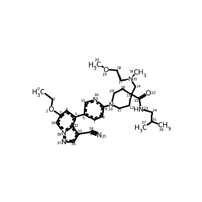 CCOc1cc(-c2ccc(N3CCC(CN(C)CCOC)(C(=O)NCC(C)C)CC3)nc2)c2c(C#N)cnn2c1